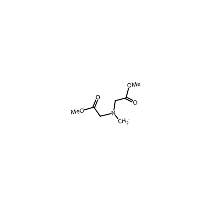 [CH2]N(CC(=O)OC)CC(=O)OC